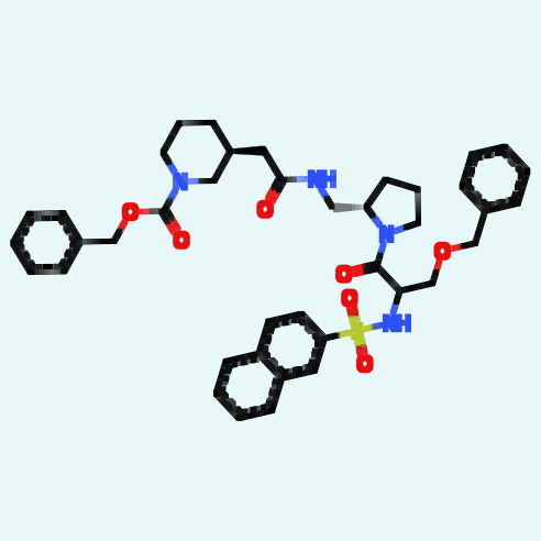 O=C(C[C@@H]1CCCN(C(=O)OCc2ccccc2)C1)NC[C@@H]1CCCN1C(=O)C(COCc1ccccc1)NS(=O)(=O)c1ccc2ccccc2c1